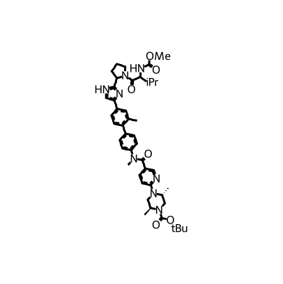 COC(=O)NC(C(=O)N1CCCC1c1nc(-c2ccc(-c3ccc(N(C)C(=O)c4ccc(N5C[C@H](C)N(C(=O)OC(C)(C)C)C[C@H]5C)nc4)cc3)c(C)c2)c[nH]1)C(C)C